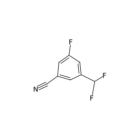 N#Cc1cc(F)cc(C(F)F)c1